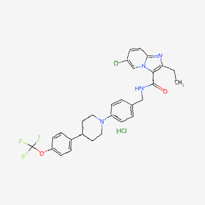 CCc1nc2ccc(Cl)cn2c1C(=O)NCc1ccc(N2CCC(c3ccc(OC(F)(F)F)cc3)CC2)cc1.Cl